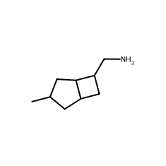 CC1CC2CC(CN)C2C1